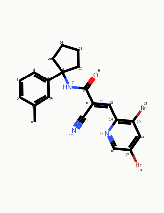 Cc1cccc(C2(NC(=O)/C(C#N)=C/c3ncc(Br)cc3Br)CCCC2)c1